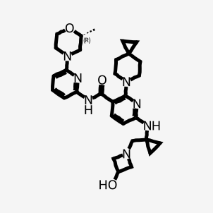 C[C@@H]1CN(c2cccc(NC(=O)c3ccc(NC4(CN5CC(O)C5)CC4)nc3N3CCC4(CC3)CC4)n2)CCO1